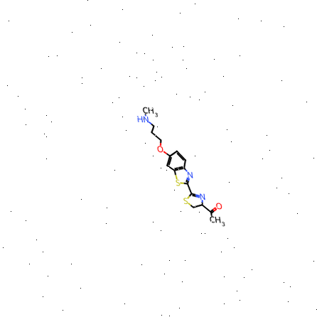 CNCCCOc1ccc2nc(C3=NC(C(C)=O)CS3)sc2c1